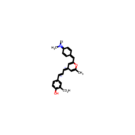 CC[N+](C)=C1C=CC(=CC2=C/C(=C/C=C/c3ccc(O)c(C(=O)O)c3)C=C(C)O2)C=C1